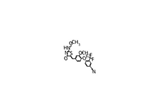 COCNC1=NC(=O)C(=Cc2ccc(Oc3ccc(C#N)cc3C(F)(F)F)c(OC)c2)S1